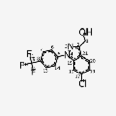 OCc1nn(-c2ccc(C(F)(F)F)cc2)c2cc(Cl)ccc12